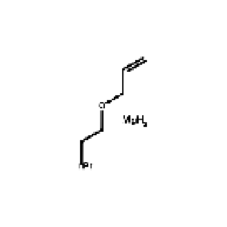 C=CCOCCCCC.[MgH2]